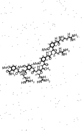 COc1ccc(CC(=O)[C@@H](CCCNC(=N)N)NC(=O)c2cc(CC(=O)[C@@H](CCCNC(=N)N)NC(=O)[C@H](C)CC(=O)c3cc(NC(=O)[C@@H](CCCNC(=N)N)CC(=O)c4cc(NC(=O)[C@H](N)CCCNC(=N)N)ccc4OC)ccc3OC)ccc2OC)cc1C(N)=O